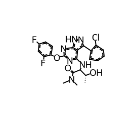 C[C@@H](O)[C@H](Nc1nc(Oc2ccc(F)cc2F)nc2[nH]nc(-c3ccccc3Cl)c12)C(=O)N(C)C